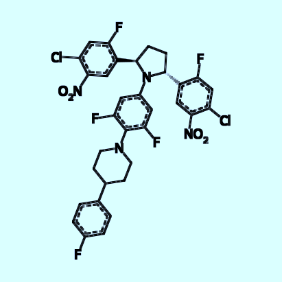 O=[N+]([O-])c1cc([C@H]2CC[C@H](c3cc([N+](=O)[O-])c(Cl)cc3F)N2c2cc(F)c(N3CCC(c4ccc(F)cc4)CC3)c(F)c2)c(F)cc1Cl